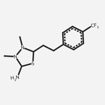 CN1C(N)SC(CCc2ccc(C(F)(F)F)cc2)N1C